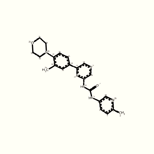 Cc1ccc(NC(=O)Nc2cncc(-c3ccc(N4CCOCC4)c(C)c3)n2)cn1